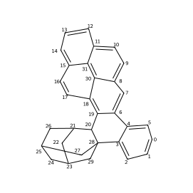 c1ccc2c(c1)-c1cc3ccc4cccc5ccc(c1C1C6CC7CC(C6)CC21C7)c3c45